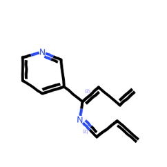 C=C/C=N\C(=C/C=C)c1cccnc1